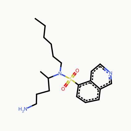 CCCCCCN(C(C)CCCN)S(=O)(=O)c1cccc2cnccc12